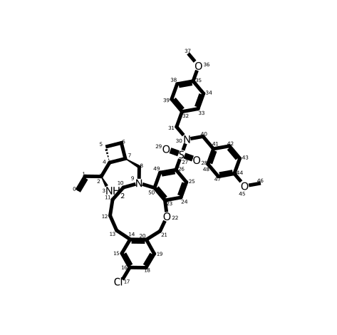 C=C[C@H](N)[C@@H]1CC[C@H]1CN1CCCCc2cc(Cl)ccc2COc2ccc(S(=O)(=O)N(Cc3ccc(OC)cc3)Cc3ccc(OC)cc3)cc21